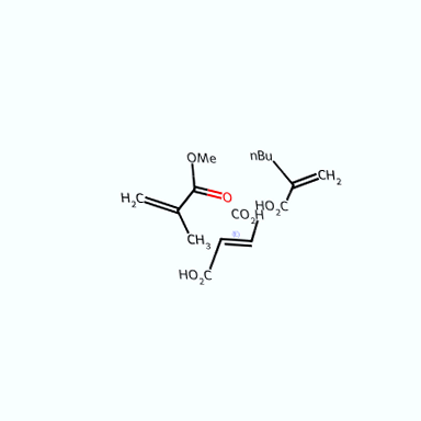 C=C(C)C(=O)OC.C=C(CCCC)C(=O)O.O=C(O)/C=C/C(=O)O